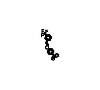 O=[N+]([O-])c1ccc(OCCc2cccc(C(F)(F)F)c2)cc1